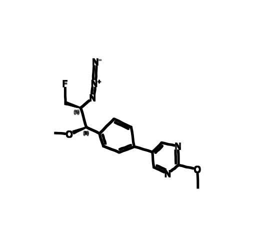 COc1ncc(-c2ccc([C@@H](OC)[C@@H](CF)N=[N+]=[N-])cc2)cn1